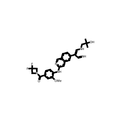 COc1cc(C(=O)N2CC(F)(F)C2)ccc1Nc1cc2cc(/C(C=N)=C/NCC(C)(C)O)ccc2cn1